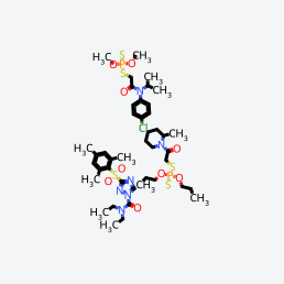 CCCOP(=S)(OCCC)SCC(=O)N1CCCCC1C.CCN(CC)C(=O)n1cnc(S(=O)(=O)c2c(C)cc(C)cc2C)n1.COP(=S)(OC)SCC(=O)N(c1ccc(Cl)cc1)C(C)C